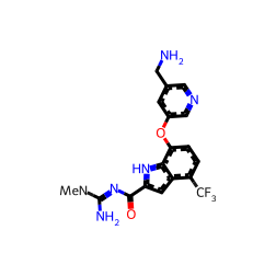 CNC(N)=NC(=O)c1cc2c(C(F)(F)F)ccc(Oc3cncc(CN)c3)c2[nH]1